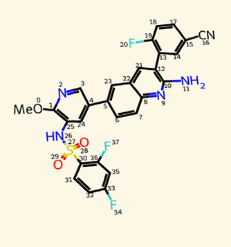 COc1ncc(-c2ccc3nc(N)c(-c4cc(C#N)ccc4F)cc3c2)cc1NS(=O)(=O)c1ccc(F)cc1F